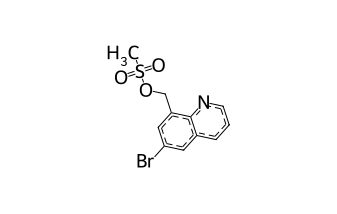 CS(=O)(=O)OCc1cc(Br)cc2cccnc12